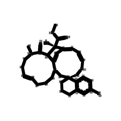 COC(=O)[C@@]1(O)C2=CC=COC[C@]3(CCCc4cc(Cl)ccc43)CN3CCC/C=C/CCN(C)C(=O)C1C3=C2